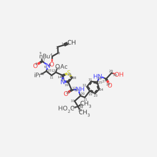 C#CCCCON(C(=O)CCCC)C(CC(OC(C)=O)c1nc(C(=O)NC(Cc2ccc(NC(=O)CO)cc2)CC(C)(C)C(=O)O)cs1)C(C)C